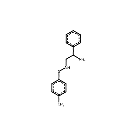 Cc1ccc(SNCC(N)c2ccccc2)cc1